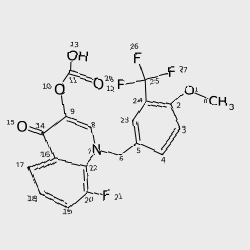 COc1ccc(Cn2cc(OC(=O)O)c(=O)c3cccc(F)c32)cc1C(F)(F)F